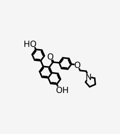 O=C(c1ccc(OCCN2CCCC2)cc1)c1c(-c2ccc(O)cc2)ccc2cc(O)ccc12